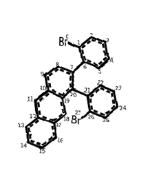 Brc1ccccc1-c1ccc2cc3ccccc3cc2c1-c1ccccc1Br